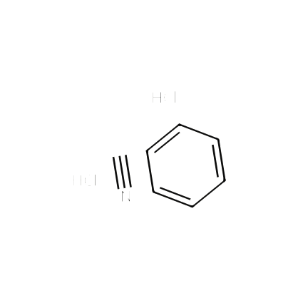 C#N.Cl.Cl.c1ccccc1